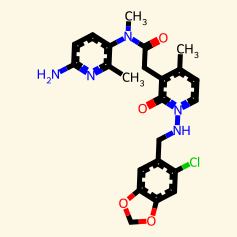 Cc1ccn(NCc2cc3c(cc2Cl)OCO3)c(=O)c1CC(=O)N(C)c1ccc(N)nc1C